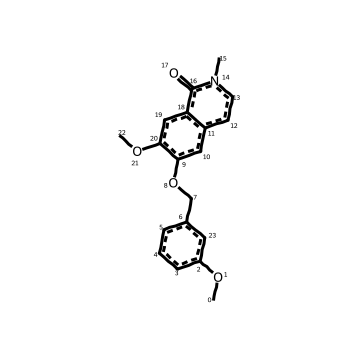 COc1cccc(COc2cc3ccn(C)c(=O)c3cc2OC)c1